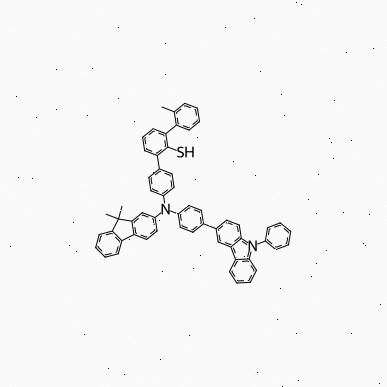 Cc1ccccc1-c1cccc(-c2ccc(N(c3ccc(-c4ccc5c(c4)c4ccccc4n5-c4ccccc4)cc3)c3ccc4c(c3)C(C)(C)c3ccccc3-4)cc2)c1S